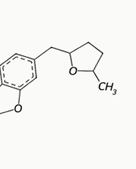 CC1CCC(Cc2ccc3c(c2)OCO3)O1